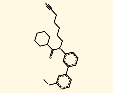 COc1cc(-c2cccc(N(CCCCCC#N)C(=O)C3CCCCC3)c2)ccn1